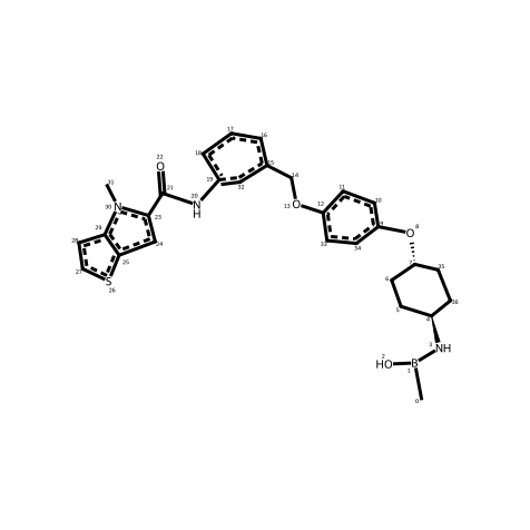 CB(O)N[C@H]1CC[C@H](Oc2ccc(OCc3cccc(NC(=O)c4cc5sccc5n4C)c3)cc2)CC1